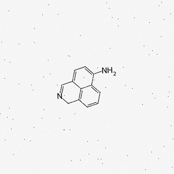 Nc1ccc2c3c(cccc13)CN=C2